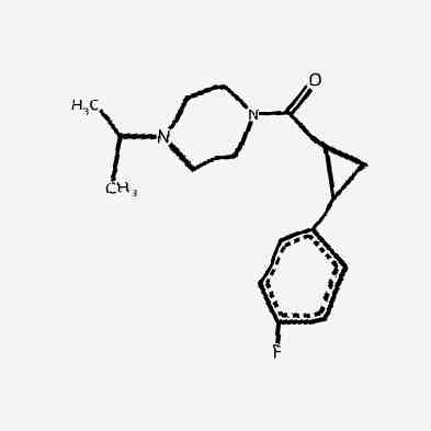 CC(C)N1CCN(C(=O)C2CC2c2ccc(F)cc2)CC1